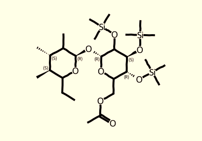 CCC1O[C@H](O[C@H]2OC(COC(C)=O)[C@@H](O[Si](C)(C)C)[C@H](O[Si](C)(C)C)C2O[Si](C)(C)C)C(C)[C@@H](C)[C@@H]1C